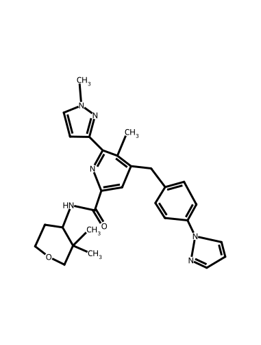 Cc1c(Cc2ccc(-n3cccn3)cc2)cc(C(=O)NC2CCOCC2(C)C)nc1-c1ccn(C)n1